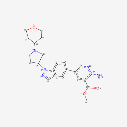 COC(=O)c1cc(-c2ccc3c(cnn3C3CCN(C4CCOCC4)C3)c2)cnc1N